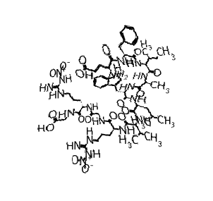 CC[C@H](C)[C@H](NC(=O)[C@H](Cc1ccccc1)NC(=O)[C@@H](N)CCC(=O)O)C(=O)N[C@@H](C)C(=O)N[C@@H](Cc1c[nH]c2ccccc12)C(=O)N[C@@H](CC(C)C)C(=O)N[C@H](C(=O)N[C@@H](CCCNC(=N)N[N+](=O)[O-])C(=O)NCC(=O)N[C@@H](CCCNC(=N)N[N+](=O)[O-])C(=O)NCC(=O)O)C(C)C